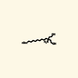 CCCCCCCCCCCCCCCCCCCC(N)(CCO)CCO